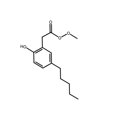 CCCCCc1ccc(O)c(CC(=O)OOC)c1